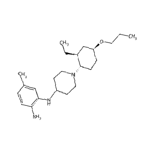 CCCO[C@H]1CC[C@H](N2CCC(Nc3cc(C)ccc3N)CC2)[C@@H](CC)C1